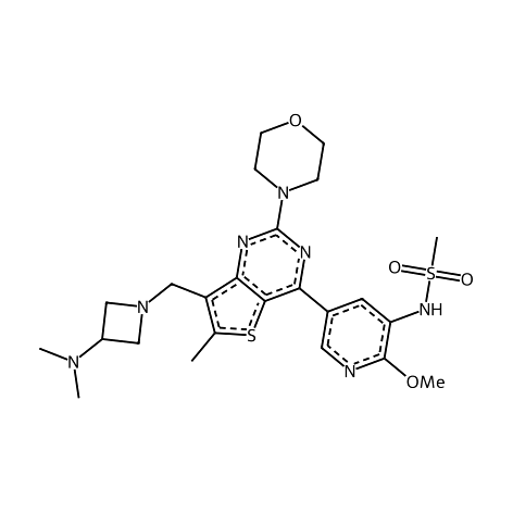 COc1ncc(-c2nc(N3CCOCC3)nc3c(CN4CC(N(C)C)C4)c(C)sc23)cc1NS(C)(=O)=O